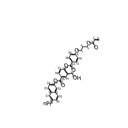 C=CC(=O)OCCCOc1ccc(C(=O)Oc2ccc(C(=O)Oc3ccc4cc(CCC)ccc4c3)cc2CO)cc1